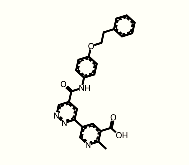 Cc1ncc(-c2cc(C(=O)Nc3ccc(OCCc4ccccc4)cc3)cnn2)cc1C(=O)O